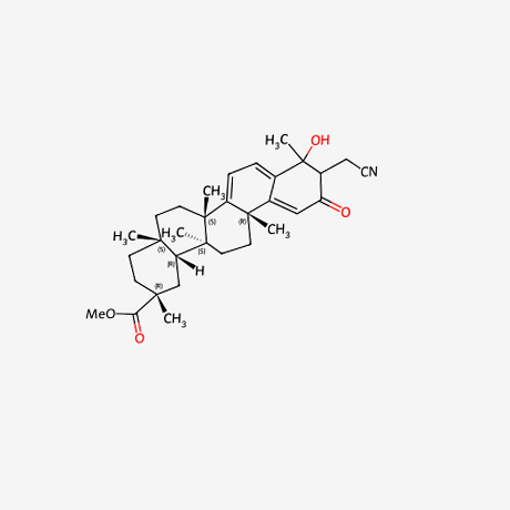 COC(=O)[C@]1(C)CC[C@]2(C)CC[C@]3(C)C4=CC=C5C(=CC(=O)C(CC#N)C5(C)O)[C@]4(C)CC[C@@]3(C)[C@@H]2C1